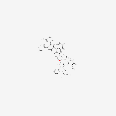 [2H]c1c([2H])c([2H])c(N(c2cc(-c3cccc(C)c3)c(-c3cccc(C)c3)cc2F)c2ccc3ccc4c(N(c5cc(-c6cccc(C)c6)c(-c6cccc(C)c6)cc5F)c5c([2H])c([2H])c([2H])c([2H])c5[2H])ccc5ccc2c3c54)c([2H])c1[2H]